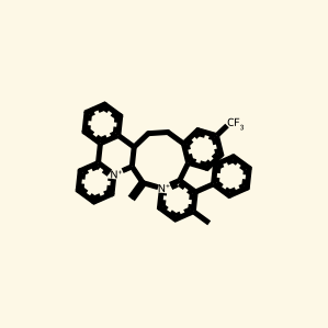 C=C1C2C(CCc3cc(C(F)(F)F)ccc3-c3c(-c4ccccc4)c(C)cc[n+]31)c1ccccc1-c1cccc[n+]12